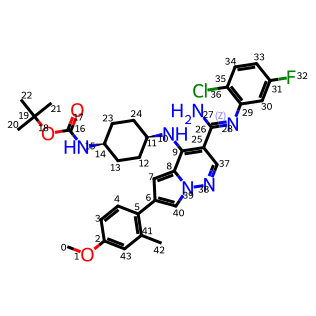 COc1ccc(-c2cc3c(N[C@H]4CC[C@@H](NC(=O)OC(C)(C)C)CC4)c(/C(N)=N/c4cc(F)ccc4Cl)cnn3c2)c(C)c1